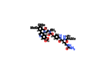 CN[C@H](C(=O)N[C@@H](CCCNC(N)=O)C(=O)Nc1ccc(COC(=O)N(C)CCn2c(=O)c3cc(OC)c(OC)cc3c3cnc4cc5c(cc4c32)OCO5)cc1)C(C)C